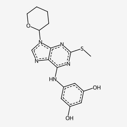 CSc1nc(Nc2cc(O)cc(O)c2)c2ncn(C3CCCCO3)c2n1